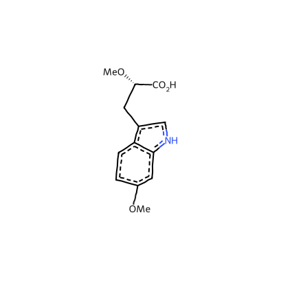 COc1ccc2c(C[C@H](OC)C(=O)O)c[nH]c2c1